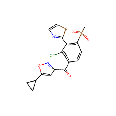 CS(=O)(=O)c1ccc(C(=O)c2cc(C3CC3)on2)c(Cl)c1-c1nccs1